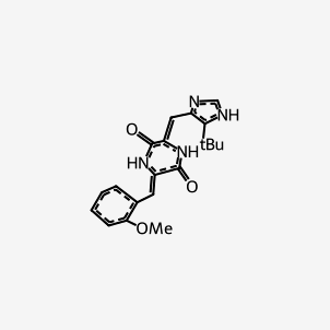 COc1ccccc1/C=c1\[nH]c(=O)/c(=C/c2nc[nH]c2C(C)(C)C)[nH]c1=O